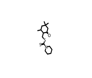 CC1CC(C)(C)CC(=O)C1CSC(=S)N1CCCCC1